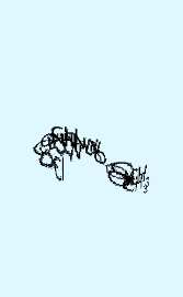 Cn1c(=O)c(-c2c(Cl)cccc2Cl)cc2cnc(Nc3ccc(OCC4COC(C)(C)OC4)nn3)nc21